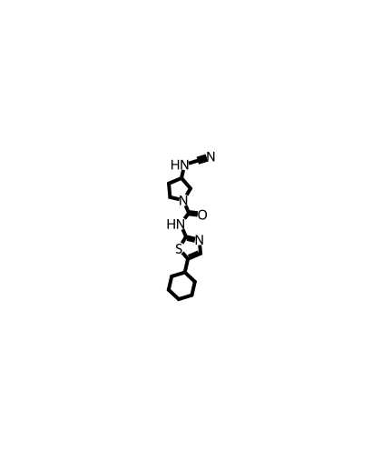 N#CNC1CCN(C(=O)Nc2ncc(C3CCCCC3)s2)C1